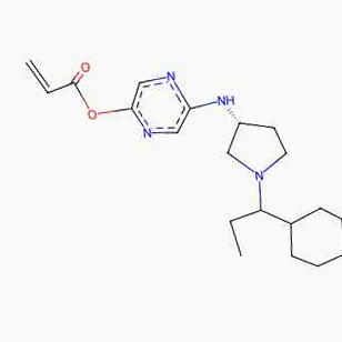 C=CC(=O)Oc1cnc(N[C@@H]2CCN(C(CC)C3CCCCC3)C2)cn1